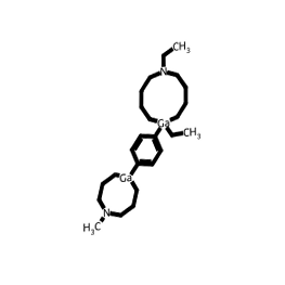 CCN1CCC[CH2][Ga-]([CH2]C)([c]2cc[c]([Ga]3[CH2]CCN(C)CC[CH2]3)cc2)[CH2]CCC1